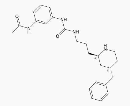 CC(=O)Nc1cccc(NC(=O)NCCC[C@@H]2C[C@@H](Cc3ccccc3)CCN2)c1